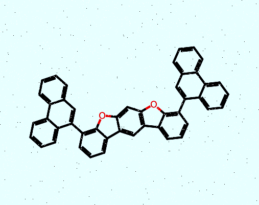 c1ccc2c(c1)cc(-c1cccc3c1oc1cc4oc5c(-c6cc7ccccc7c7ccccc67)cccc5c4cc13)c1ccccc12